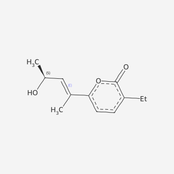 CCc1ccc(/C(C)=C/[C@H](C)O)oc1=O